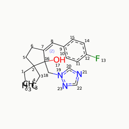 CCC1(CC)CC/C(=C/c2ccc(F)cc2)C1(O)Cn1cncn1